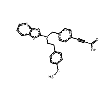 COc1ccc(CCN(Cc2ccc(C#CC(=O)O)cc2)c2nc3ncccc3s2)cc1